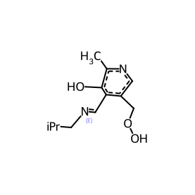 Cc1ncc(COO)c(/C=N/CC(C)C)c1O